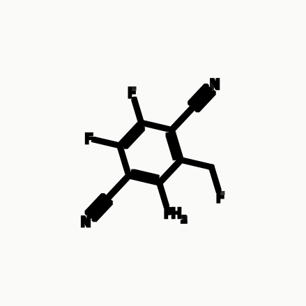 N#Cc1c(F)c(F)c(C#N)c(CF)c1P